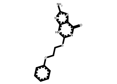 Nc1nc2[nH]c(SCCOc3ccccc3)nc(=O)c2s1